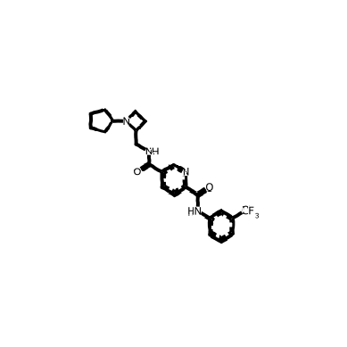 O=C(NCC1CCN1C1CCCC1)c1ccc(C(=O)Nc2cccc(C(F)(F)F)c2)nc1